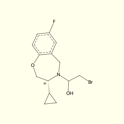 OC(CBr)N1Cc2cc(F)ccc2OC[C@H]1C1CC1